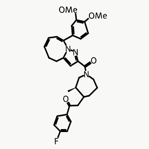 COc1ccc(/C2=C/C=C\CCc3cc(C(=O)N4CCCC(CC(=O)c5ccc(F)cc5)[C@@H](C)C4)nn32)cc1OC